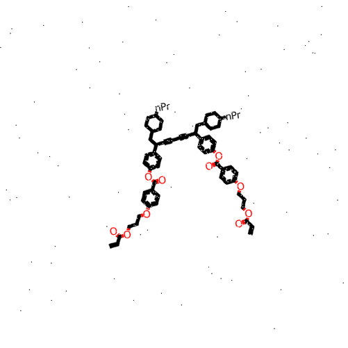 C=CC(=O)OCCCOc1ccc(C(=O)Oc2ccc(C(C#CC#CC(CC3CCC(CCC)CC3)c3ccc(OC(=O)c4ccc(OCCCOC(=O)C=C)cc4)cc3)CC3CCC(CCC)CC3)cc2)cc1